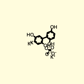 O=P([O-])([O-])[O-].Oc1ccc(O)c(-c2cc(O)ccc2O)c1.[K+].[K+].[K+]